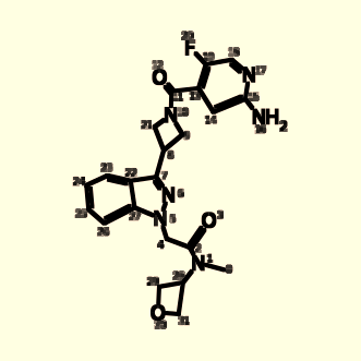 CN(C(=O)Cn1nc(C2CN(C(=O)c3cc(N)ncc3F)C2)c2ccccc21)C1COC1